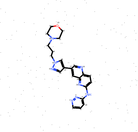 c1cnnc(Nc2ccc3ncc(-c4cnn(CCCN5CCOCC5)c4)cc3n2)c1